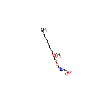 CCCCCCCCCCCCCCCCCCOCC(CSCCOCCN1C=C[N+](=CCCC(=O)[O-])C1)OC